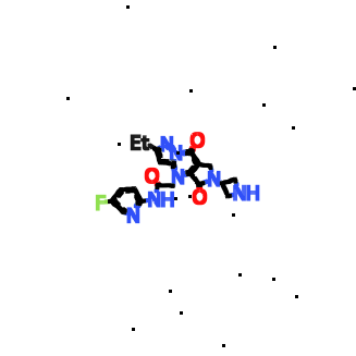 CCc1cc2n(CC(=O)Nc3ccc(F)cn3)c3c(c(=O)n2n1)CN(C1CNC1)C3=O